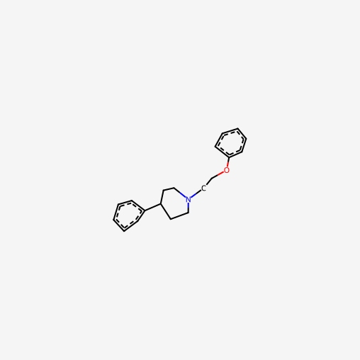 c1ccc(OCCN2CCC(c3ccccc3)CC2)cc1